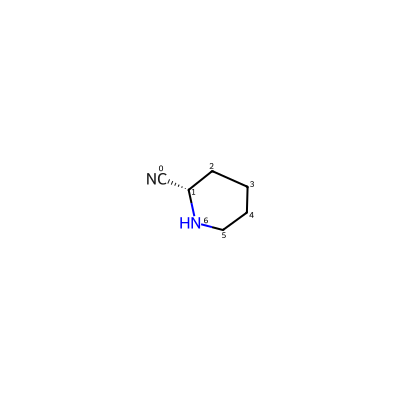 N#C[C@@H]1CCCCN1